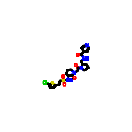 O=C(NC[C@H]1CCCN1C(=O)CN1CCC[C@H](NS(=O)(=O)/C=C/c2ccc(Cl)s2)C1=O)c1ccncc1